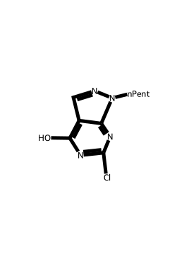 CCCCCn1ncc2c(O)nc(Cl)nc21